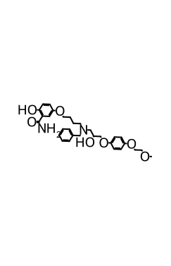 COCCOc1ccc(OCC(O)CN(CCCCOc2ccc(O)c(C(N)=O)c2)Cc2ccccc2)cc1